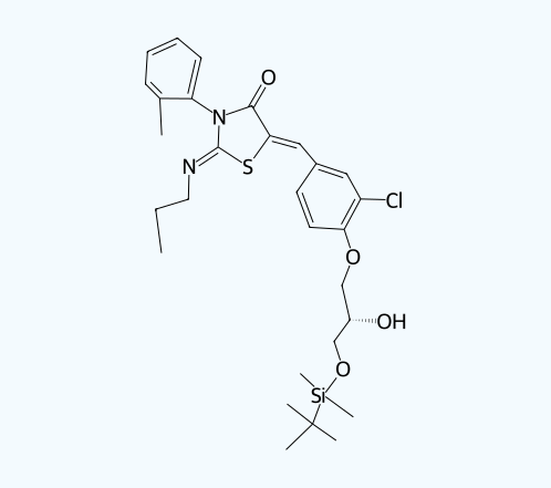 CCC/N=C1\S/C(=C\c2ccc(OC[C@H](O)CO[Si](C)(C)C(C)(C)C)c(Cl)c2)C(=O)N1c1ccccc1C